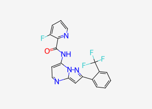 O=C(Nc1ccnc2cc(-c3ccccc3C(F)(F)F)nn12)c1ncccc1F